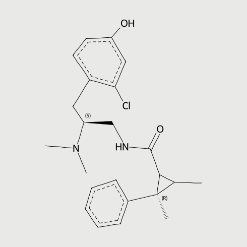 CC1C(C(=O)NC[C@H](Cc2ccc(O)cc2Cl)N(C)C)[C@]1(C)c1ccccc1